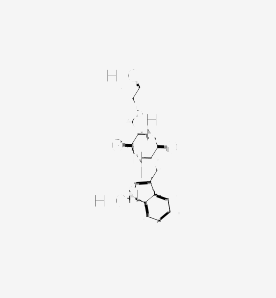 C=CCSC[C@H]1NC(=O)[C@@H](Cc2cn(C)c3ccccc23)NC1=O